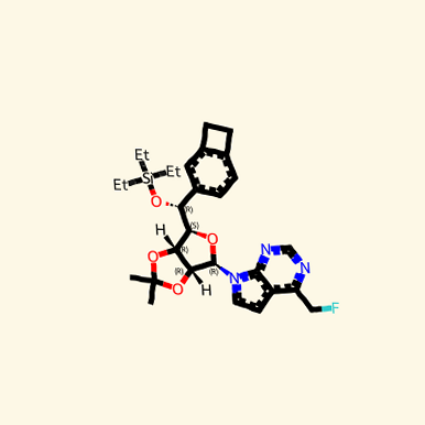 CC[Si](CC)(CC)O[C@H](c1ccc2c(c1)CC2)[C@H]1O[C@@H](n2ccc3c(CF)ncnc32)[C@@H]2OC(C)(C)O[C@@H]21